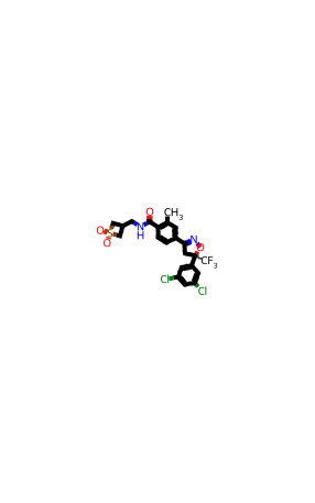 Cc1cc(C2=NO[C@](c3cc(Cl)cc(Cl)c3)(C(F)(F)F)C2)ccc1C(=O)NCC1CS(=O)(=O)C1